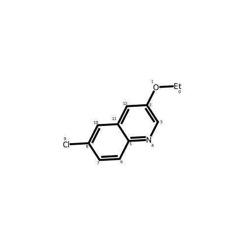 CCOc1cnc2ccc(Cl)cc2c1